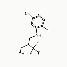 OCC(CNc1cc(Cl)ncc1I)C(F)(F)F